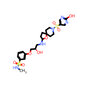 CNS(=O)(=O)c1cccc(OC[C@H](O)CNC2CCC3(CCN(S(=O)(=O)c4cnc(O)nc4)CC3)O2)c1